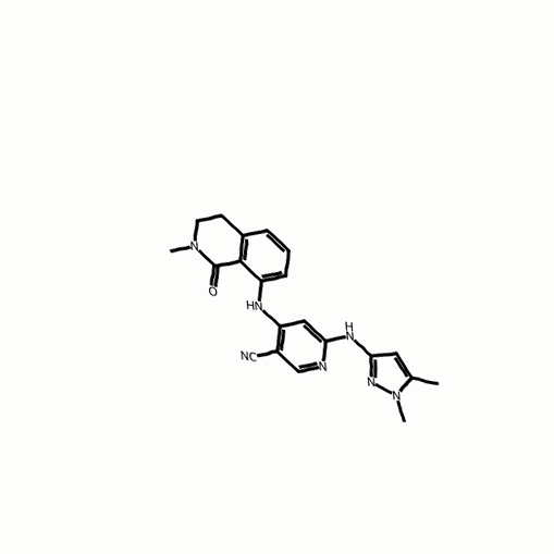 Cc1cc(Nc2cc(Nc3cccc4c3C(=O)N(C)CC4)c(C#N)cn2)nn1C